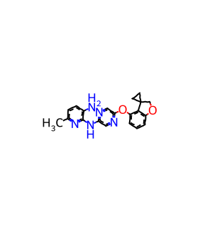 Cc1ccc(N)c(Nc2cnc(Oc3cccc4c3C3(CC3)CO4)cn2)n1